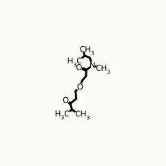 CC(C)CN(C)C(=O)CCOCCC(=O)C(C)C